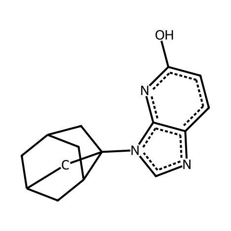 Oc1ccc2ncn(C34CC5CC(CC3C5)C4)c2n1